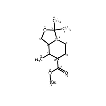 CC1C2COC(C)(C)N2CCN1C(=O)OC(C)(C)C